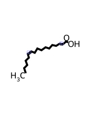 CCCCCC/C=C\CCCCCCC/C=C/C(=O)O